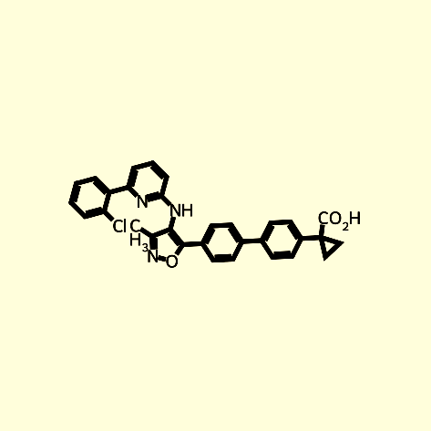 Cc1noc(-c2ccc(-c3ccc(C4(C(=O)O)CC4)cc3)cc2)c1Nc1cccc(-c2ccccc2Cl)n1